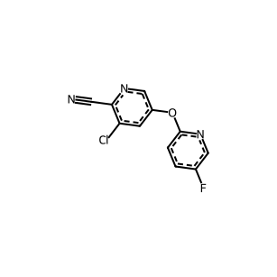 N#Cc1ncc(Oc2ccc(F)cn2)cc1Cl